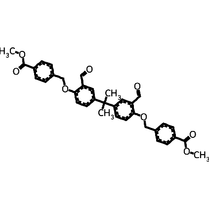 COC(=O)c1ccc(COc2ccc(C(C)(C)c3ccc(OCc4ccc(C(=O)OC)cc4)c(C=O)c3)cc2C=O)cc1